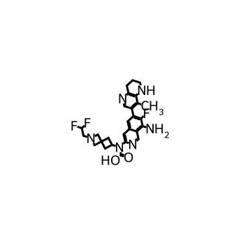 Cc1c(-c2cc3cc(N(C(=O)O)C4CC5(C4)CN(CC(F)F)C5)ncc3c(N)c2F)cnc2c1NCCC2